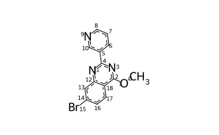 COc1nc(-c2cccnc2)nc2cc(Br)ccc12